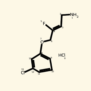 Cl.NCC=C(F)COc1cccc(Cl)c1